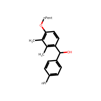 CCCCCOc1ccc(C(O)c2ccc(CCC)cc2)c(C)c1C